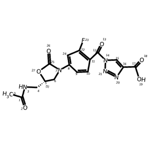 CC(=O)NC[C@H]1CN(c2ccc(C(=O)n3cc(C(=O)O)nn3)c(F)c2)C(=O)O1